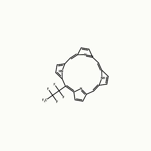 FC(F)(F)C(F)(F)C(F)(F)c1c2nc(cc3ccc(cc4nc(cc5ccc1[nH]5)C=C4)[nH]3)C=C2